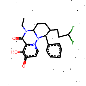 CCN1C(=O)c2c(O)c(=O)ccn2N2C(c3ccccc3)C(CCC(F)F)CCC12